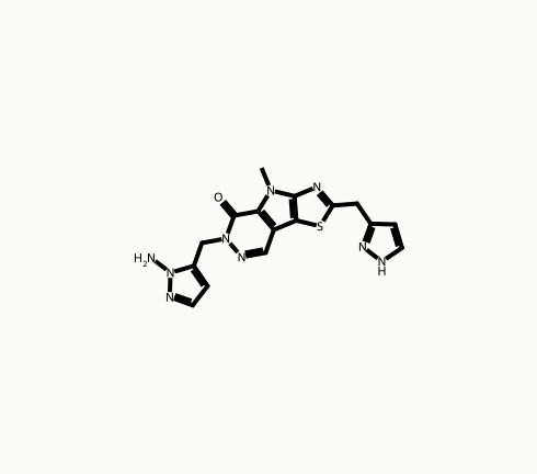 Cn1c2nc(Cc3cc[nH]n3)sc2c2cnn(Cc3ccnn3N)c(=O)c21